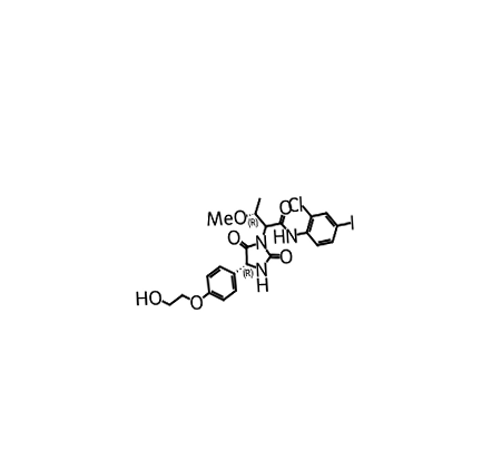 CO[C@H](C)C(C(=O)Nc1ccc(I)cc1Cl)N1C(=O)N[C@H](c2ccc(OCCO)cc2)C1=O